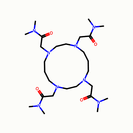 CN(C)C(=O)CN1CCCN(CC(=O)N(C)C)CCN(CC(=O)N(C)C)CCCN(CC(=O)N(C)C)CC1